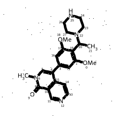 COc1cc(-c2cn(C)c(=O)c3cnccc23)cc(OC)c1C(C)N1CCNCC1